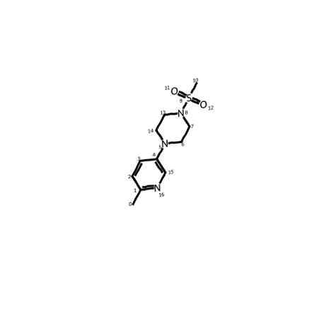 Cc1ccc(N2CCN(S(C)(=O)=O)CC2)cn1